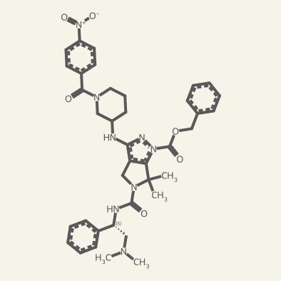 CN(C)C[C@@H](NC(=O)N1Cc2c(NC3CCCN(C(=O)c4ccc([N+](=O)[O-])cc4)C3)nn(C(=O)OCc3ccccc3)c2C1(C)C)c1ccccc1